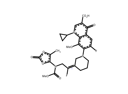 COC(=O)N(C/C(F)=C1/CCCN(c2c(F)cc3c(=O)c(C(=O)O)cn(C4CC4)c3c2OC)C1)c1oc(=O)oc1C